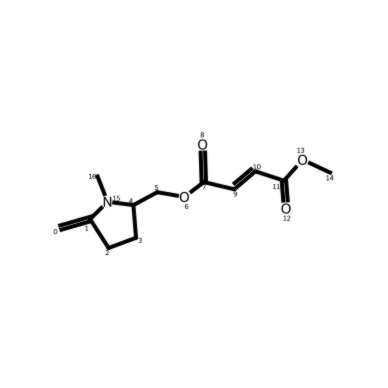 C=C1CCC(COC(=O)/C=C/C(=O)OC)N1C